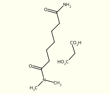 CN(C)C(=O)CCCCCC(N)=O.O=C(O)CC(=O)O